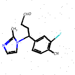 Cc1nccn1C(CCC=O)c1ccc(C#N)c(F)c1